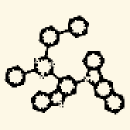 c1ccc(-c2cccc(-c3nc(-c4ccccc4)nc(-c4cc(-n5c6ccccc6c6cc7ccccc7cc65)cc5oc6ccccc6c45)n3)c2)cc1